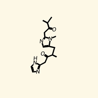 CC(C)C(=O)Cc1ncc(CC(C)C(=O)Cc2ncc[nH]2)n1C